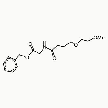 COCCOCCCC(=O)NCC(=O)OCc1ccccc1